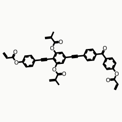 C=CC(=O)Oc1ccc(C#Cc2c(OC(=O)C(=C)C)cc(C#Cc3ccc(C(=O)c4ccc(OC(=O)C=C)cc4)cc3)cc2OC(=O)C(=C)C)cc1